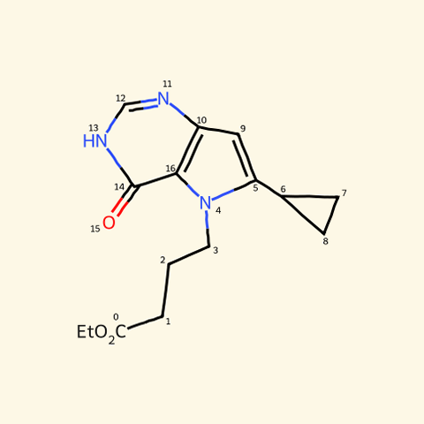 CCOC(=O)CCCn1c(C2CC2)cc2nc[nH]c(=O)c21